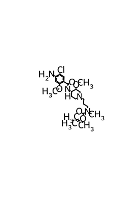 COc1cc(N)c(Cl)cc1C(=O)N[C@@H]1CCN(CCCN(C)C(=O)OC(C)(C)C)C[C@@H]1OC